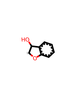 OC1[C]Oc2ccccc21